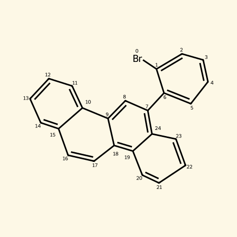 Brc1ccccc1-c1cc2c3ccccc3ccc2c2ccccc12